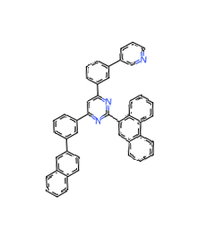 c1cncc(-c2cccc(-c3cc(-c4cccc(-c5ccc6ccccc6c5)c4)nc(-c4cc5ccccc5c5ccccc45)n3)c2)c1